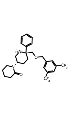 O=C1CCCCN1[C@H]1CC[C@@](COCc2cc(C(F)(F)F)cc(C(F)(F)F)c2)(c2ccccc2)NC1